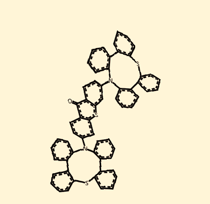 O=c1c2ccc(N3c4ccccc4-c4ccccc4Sc4ccccc4-c4ccccc43)cc2sc2cc(N3c4ccccc4-c4ccccc4Sc4ccccc4-c4ccccc43)ccc12